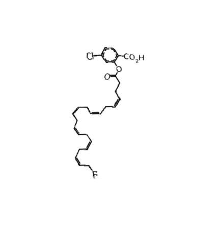 O=C(CC/C=C\C/C=C\C/C=C\C/C=C\C/C=C\C/C=C\CF)Oc1cc(Cl)ccc1C(=O)O